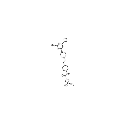 CC(C)(C)c1nc(C2CCC2)cc(N2CCN(CCC3CCC(NC(=O)[C@H]4C[C@](O)(C(F)(F)F)C4)CC3)CC2)n1